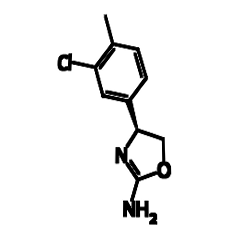 Cc1ccc([C@H]2COC(N)=N2)cc1Cl